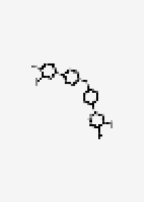 Fc1ccc(-c2ccc(Cc3ccc(-c4ccc(F)c(I)c4)cc3)cc2)cc1I